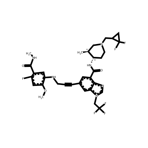 CNC(=O)c1cc(NCC#Cc2cc(C(=O)N[C@H]3CCN(CC4CC4(F)F)C[C@@H]3C)c3ncn(CC(F)(F)F)c3c2)c(OC)cc1F